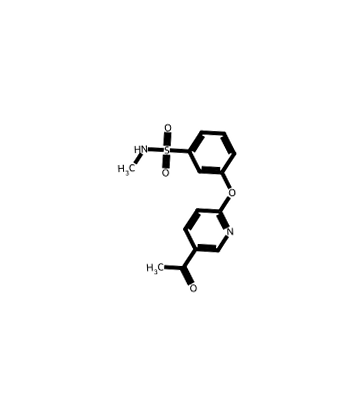 CNS(=O)(=O)c1cccc(Oc2ccc(C(C)=O)cn2)c1